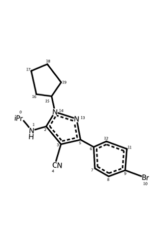 CC(C)Nc1c(C#N)c(-c2ccc(Br)cc2)nn1C1CCCC1